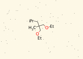 CCOCC(C)(COCC)CC(C)C